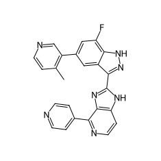 Cc1ccncc1-c1cc(F)c2[nH]nc(-c3nc4c(-c5ccncc5)nccc4[nH]3)c2c1